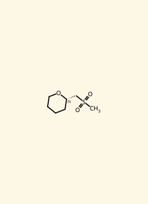 CS(=O)(=O)C[C@@H]1CCCCO1